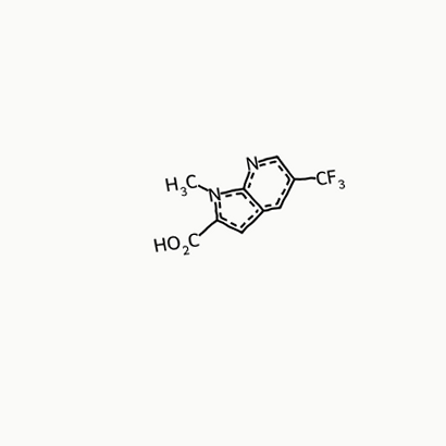 Cn1c(C(=O)O)cc2cc(C(F)(F)F)cnc21